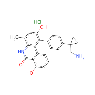 Cc1cc(O)c(-c2ccc(C3(CN)CC3)cc2)c2c1[nH]c(=O)c1c(O)cccc12.Cl